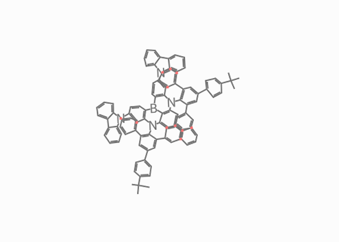 CC(C)(C)c1ccc(-c2cc(-c3ccccc3)c(N3c4cc(-n5c6ccccc6c6ccccc65)ccc4B4c5ccc(-n6c7ccccc7c7ccccc76)cc5N(c5c(-c6ccccc6)cc(-c6ccc(C(C)(C)C)cc6)cc5-c5ccccc5)c5cc(-c6ccccc6)cc3c54)c(-c3ccccc3)c2)cc1